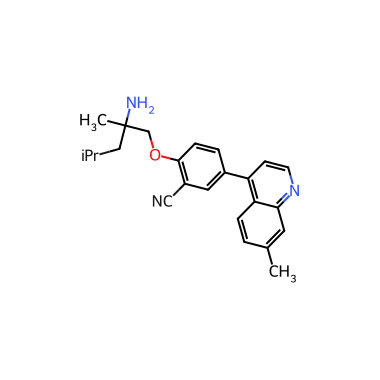 Cc1ccc2c(-c3ccc(OCC(C)(N)CC(C)C)c(C#N)c3)ccnc2c1